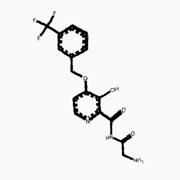 NCC(=O)NC(=O)c1nccc(OCc2cccc(C(F)(F)F)c2)c1O